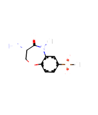 CN1C(=O)[C@@H](N)COc2ccc(S(C)(=O)=O)cc21